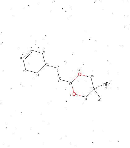 CCCC1(C)COC(CCC2CC=CCC2)OC1